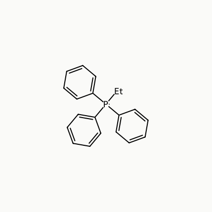 CC[P](c1ccccc1)(c1ccccc1)c1ccccc1